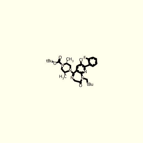 C[C@@H]1CN(C2=NCC(=O)N(CC(C)(C)C)c3nc(-c4ccccc4F)c(Cl)cc32)[C@@H](C)CN1C(=O)OC(C)(C)C